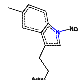 CC(=O)NCCc1cn(N=O)c2ccc(C)cc12